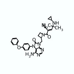 CC(C)(C=C(C#N)C(=O)N1CCC1Cn1c(=O)n(-c2ccc(Oc3ccccc3)cc2)c2c(N)ncnc21)NC1CC1